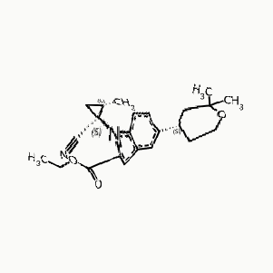 CCOC(=O)c1cc2cc([C@H]3CCOC(C)(C)C3)ccc2n1[C@@]1(C#N)C[C@@H]1C